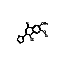 CCOc1cc2c(cc1OC)c(=O)cc(-c1ccco1)n2CC